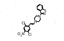 O=[N+]([O-])c1cc(Cl)c(C=CN2CCN(c3nsc4ccccc34)CC2)cc1Cl